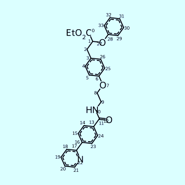 CCOC(=O)C(Cc1ccc(OCCNC(=O)c2ccc(-c3ccccn3)cc2)cc1)Oc1ccccc1